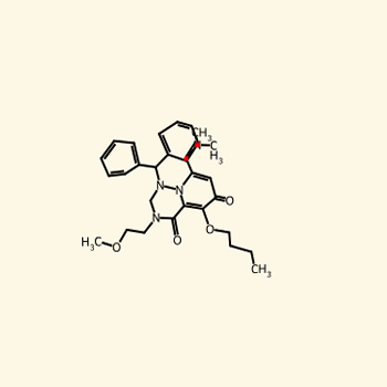 CCCCOc1c2n(c(CN(C)C)cc1=O)N(C(c1ccccc1)c1ccccc1)CN(CCOC)C2=O